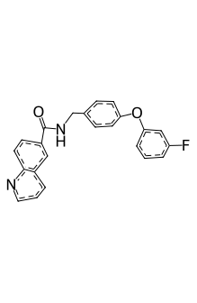 O=C(NCc1ccc(Oc2cccc(F)c2)cc1)c1ccc2ncccc2c1